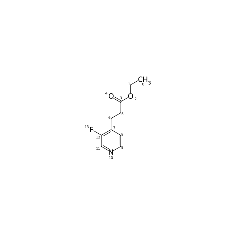 CCOC(=O)CCc1ccncc1F